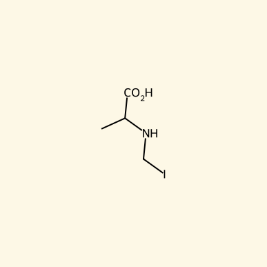 CC(NCI)C(=O)O